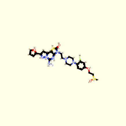 C[S+]([O-])CCOc1ccc(N2CCN(CCn3c(=O)sc4c3nc(N)n3nc(-c5ccco5)cc43)CC2)c(F)c1